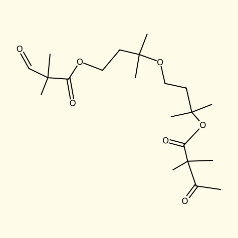 CC(=O)C(C)(C)C(=O)OC(C)(C)CCOC(C)(C)CCOC(=O)C(C)(C)C=O